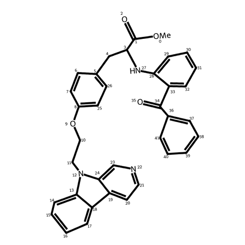 COC(=O)C(Cc1ccc(OCCn2c3ccccc3c3ccncc32)cc1)Nc1ccccc1C(=O)c1ccccc1